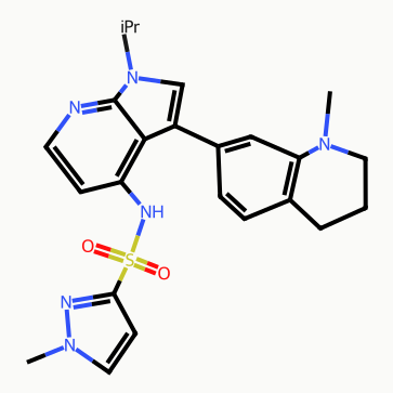 CC(C)n1cc(-c2ccc3c(c2)N(C)CCC3)c2c(NS(=O)(=O)c3ccn(C)n3)ccnc21